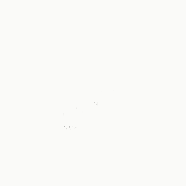 CN(C)C(=O)C(c1ccccc1)c1ccccc1.CNC(=O)Oc1ccc(C)c(C)c1